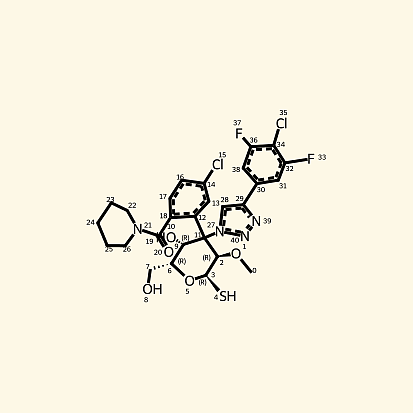 CO[C@H]1[C@@H](S)O[C@H](CO)[C@H](O)C1(c1cc(Cl)ccc1C(=O)N1CCCCC1)n1cc(-c2cc(F)c(Cl)c(F)c2)nn1